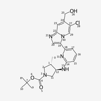 C[C@H]1CN(C(=O)OC(C)(C)C)C[C@@H]1Nc1cccc(-c2cnc3cc(CO)c(Cl)cn23)n1